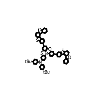 CC(C)(C)c1ccc(N(c2ccc(C(C)(C)C)cc2)c2ccc3c(c2)Sc2cc(-c4ccc5c(c4)sc4ccc6oc7ccccc7c6c45)cc4c2B3c2ccc(-c3ccc5c(c3)sc3ccc6oc7ccccc7c6c35)cc2O4)cc1